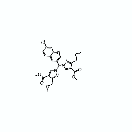 COCc1n[nH]cc1C(=O)OC.COCc1nn(Cc2cnc3cc(Cl)ccc3c2)cc1C(=O)OC